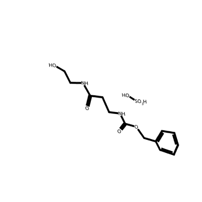 O=C(CCNC(=O)OCc1ccccc1)NCCO.O=S(=O)(O)O